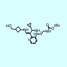 CC(C)(C)OC(=O)NCCNc1cccnc1/C(=C/NC1CC(CO)C1)C(N)C1CC1